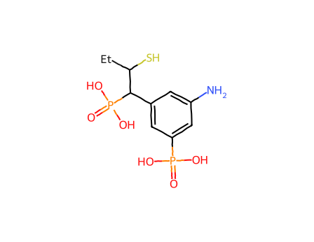 CCC(S)C(c1cc(N)cc(P(=O)(O)O)c1)P(=O)(O)O